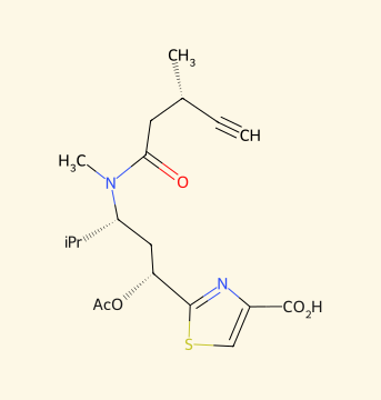 C#C[C@@H](C)CC(=O)N(C)[C@H](C[C@@H](OC(C)=O)c1nc(C(=O)O)cs1)C(C)C